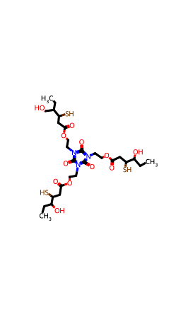 CCC(O)C(S)CC(=O)OCCn1c(=O)n(CCOC(=O)CC(S)C(O)CC)c(=O)n(CCOC(=O)CC(S)C(CC)CO)c1=O